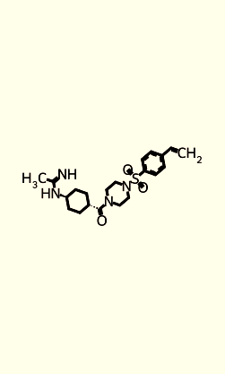 C=Cc1ccc(S(=O)(=O)N2CCN(C(=O)[C@H]3CC[C@H](NC(C)=N)CC3)CC2)cc1